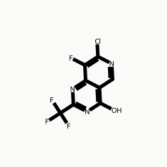 Oc1nc(C(F)(F)F)nc2c(F)c(Cl)ncc12